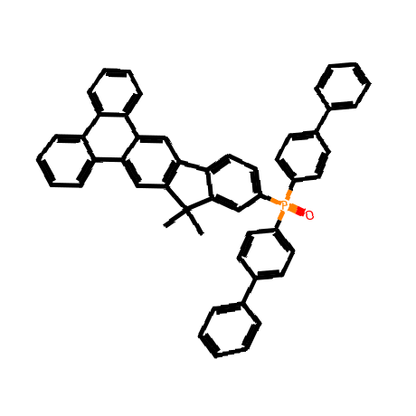 CC1(C)c2cc(P(=O)(c3ccc(-c4ccccc4)cc3)c3ccc(-c4ccccc4)cc3)ccc2-c2cc3c4ccccc4c4ccccc4c3cc21